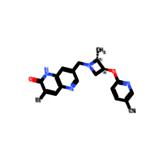 CCc1cc2ncc(CN3C[C@H](Oc4ccc(C#N)cn4)[C@H]3C)cc2[nH]c1=O